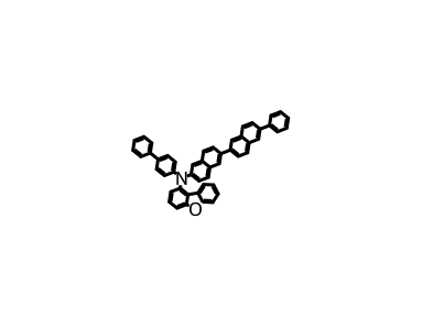 c1ccc(-c2ccc(N(c3ccc4cc(-c5ccc6cc(-c7ccccc7)ccc6c5)ccc4c3)c3cccc4oc5ccccc5c34)cc2)cc1